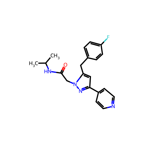 CC(C)NC(=O)Cn1nc(-c2ccncc2)cc1Cc1ccc(F)cc1